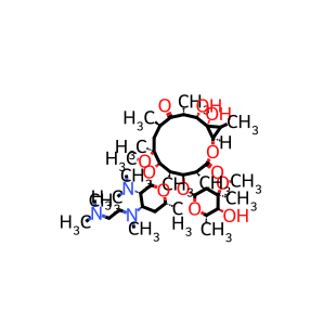 CO[C@]1(C)C[C@H](O[C@H]2[C@H](C)[C@@H](O[C@@H]3O[C@H](C)C[C@@H](N(C)CCN(C)C)[C@@H]3N(C)C)[C@@](C)(OC)C[C@@H](C)C(=O)[C@H](C)[C@@H](O)[C@@]3(O)C(C)[C@H]3OC(=O)[C@@H]2C)O[C@@H](C)[C@@H]1O